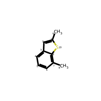 Cc1[c]c2cccc(C)c2s1